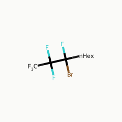 CCCCCCC(F)(Br)C(F)(F)C(F)(F)F